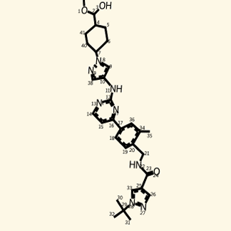 COC(O)C1CCC(n2cc(Nc3nccc(-c4ccc(CNC(=O)c5cnn(C(C)(C)C)c5)c(C)c4)n3)cn2)CC1